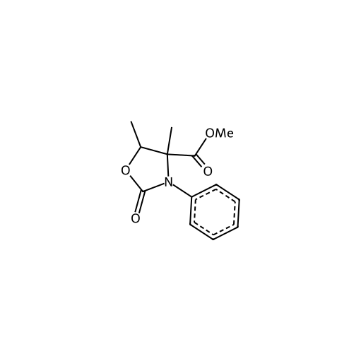 COC(=O)C1(C)C(C)OC(=O)N1c1ccccc1